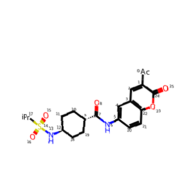 CC(=O)c1cc2cc(NC(=O)[C@H]3CC[C@H](NS(=O)(=O)C(C)C)CC3)ccc2oc1=O